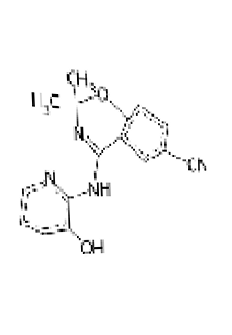 CC1(C)N=C(Nc2ncccc2O)c2cc(C#N)ccc2O1